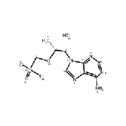 C[C@H](Cn1cnc2c(N)ncnc21)OCP(=O)(Cl)Cl.Cl